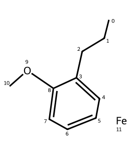 CCCc1ccccc1OC.[Fe]